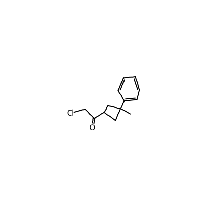 CC1(c2ccccc2)CC(C(=O)CCl)C1